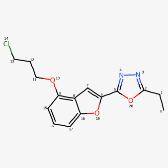 CCc1nnc(-c2cc3c(OCCCCl)cccc3o2)o1